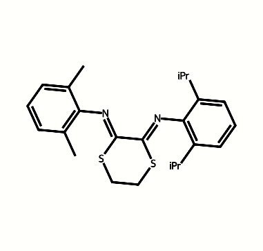 Cc1cccc(C)c1N=C1SCCSC1=Nc1c(C(C)C)cccc1C(C)C